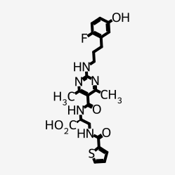 Cc1nc(NCCCc2cc(O)ccc2F)nc(C)c1C(=O)N[C@@H](CNC(=O)c1cccs1)C(=O)O